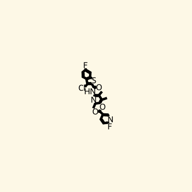 Cc1nc(NC(=O)c2sc3cc(F)ccc3c2Cl)c(C)c(C)c1OC(=O)c1ccc(F)nc1